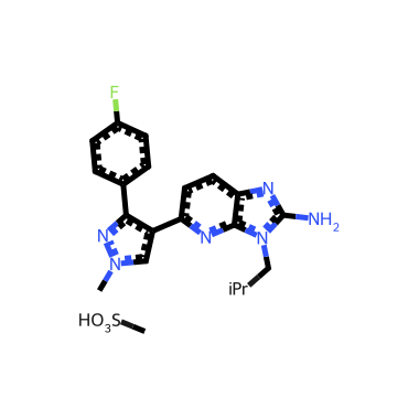 CC(C)Cn1c(N)nc2ccc(-c3cn(C)nc3-c3ccc(F)cc3)nc21.CS(=O)(=O)O